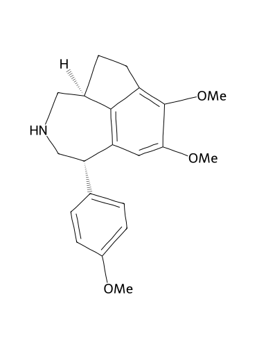 COc1ccc([C@@H]2CNC[C@H]3CCc4c(OC)c(OC)cc2c43)cc1